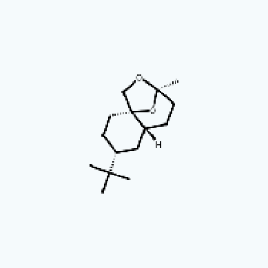 CC(C)(C)[C@@H]1CC[C@@]23CO[C@@](C)(CC[C@@H]2C1)O3